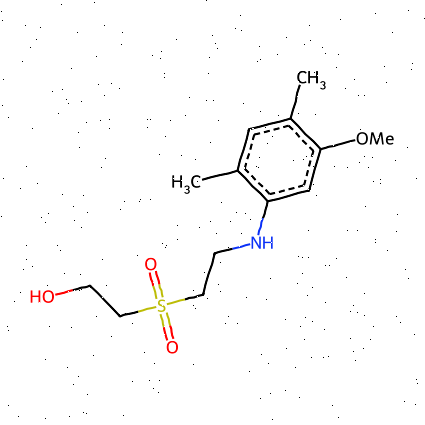 COc1cc(NCCS(=O)(=O)CCO)c(C)cc1C